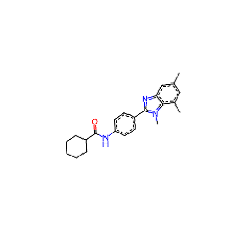 Cc1cc(C)c2c(c1)nc(-c1ccc(NC(=O)C3CCCCC3)cc1)n2C